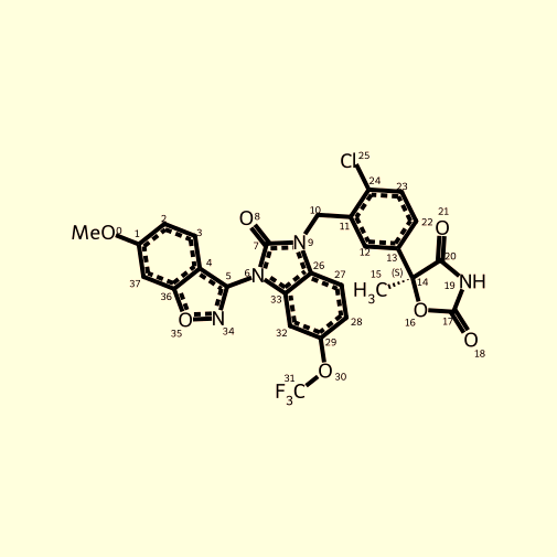 COc1ccc2c(-n3c(=O)n(Cc4cc([C@]5(C)OC(=O)NC5=O)ccc4Cl)c4ccc(OC(F)(F)F)cc43)noc2c1